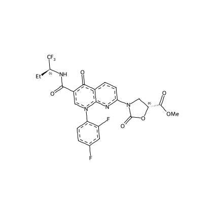 CC[C@H](NC(=O)c1cn(-c2ccc(F)cc2F)c2nc(N3C[C@H](C(=O)OC)OC3=O)ccc2c1=O)C(F)(F)F